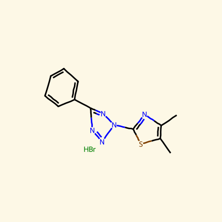 Br.Cc1nc(-n2nnc(-c3ccccc3)n2)sc1C